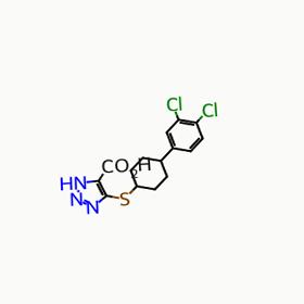 O=C(O)c1[nH]nnc1SC1CCC(c2ccc(Cl)c(Cl)c2)CC1